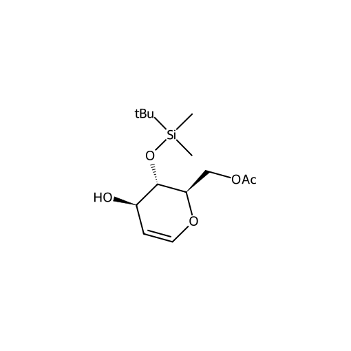 CC(=O)OC[C@H]1OC=C[C@@H](O)[C@@H]1O[Si](C)(C)C(C)(C)C